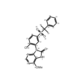 COc1ncnc2c1[nH]c(=O)n2-c1cc(S(=O)(=O)C(C)(C)c2ccccc2)ccc1Cl